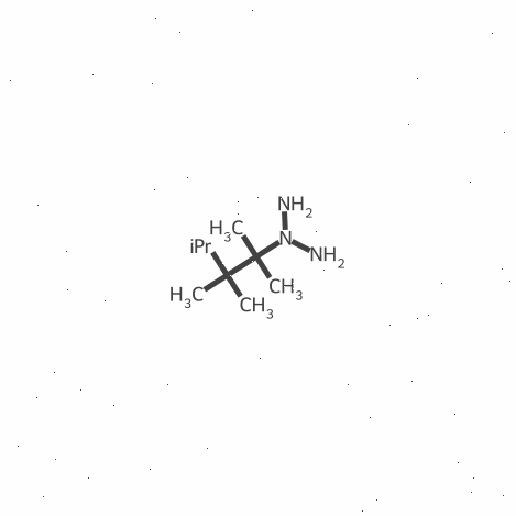 CC(C)C(C)(C)C(C)(C)N(N)N